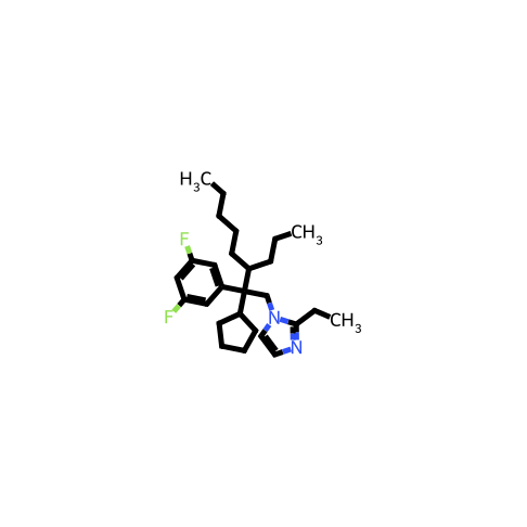 CCCCCC(CCC)C(Cn1ccnc1CC)(c1cc(F)cc(F)c1)C1CCCC1